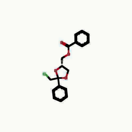 O=C(OC[C@@H]1COC(CCl)(c2ccccc2)O1)c1ccccc1